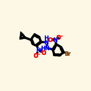 O=[N+]([O-])c1cc(Br)ccc1NNc1ccc(C2CC2)cc1[N+](=O)[O-]